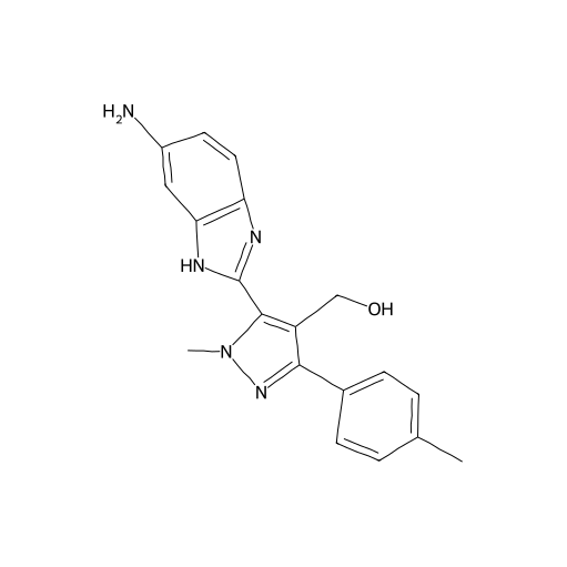 Cc1ccc(-c2nn(C)c(-c3nc4ccc(N)cc4[nH]3)c2CO)cc1